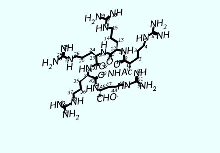 CC(=O)N[C@H](CCCNC(=N)N)C(=O)N[C@H](CCCNC(=N)N)C(=O)N[C@H](CCCNC(=N)N)C(=O)N[C@H](CCCNC(=N)N)C(=O)N[C@@H]([C]=O)CCCNC(=N)N